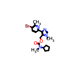 Cc1nc(-c2ncn(C)c2COC(=O)N(C)C2CCCC2)ccc1Br